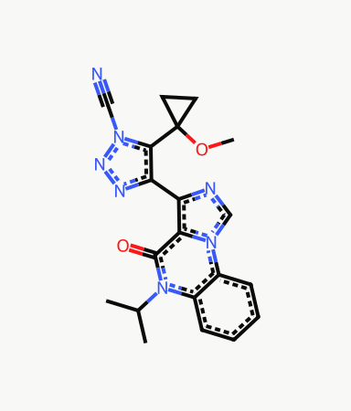 COC1(c2c(-c3ncn4c3c(=O)n(C(C)C)c3ccccc34)nnn2C#N)CC1